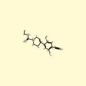 CCOC(=O)N1CC=C(c2cc(F)c(C#N)cc2F)CC1